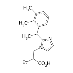 CCC(Cn1ccnc1C(C)c1cccc(C)c1C)C(=O)O